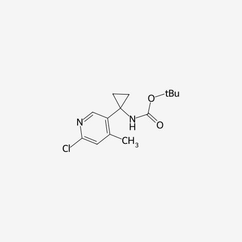 Cc1cc(Cl)ncc1C1(NC(=O)OC(C)(C)C)CC1